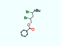 CCCCC(Br)CC(Br)COC(=O)c1ccccc1